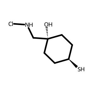 O[C@]1(CNCl)CC[C@@H](S)CC1